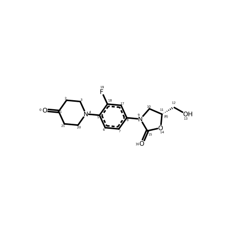 O=C1CCN(c2ccc(N3C[C@H](CO)OC3=O)cc2F)CC1